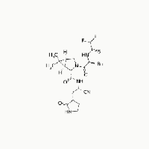 CC(C)(C)[C@H](NC(=S)C(F)F)C(=O)N1C[C@H]2[C@@H]([C@H]1C(=O)N[C@H](C#N)C[C@@H]1CCNC1=O)C2(C)C